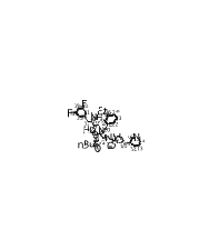 CCCCS(=O)(=O)C[C@@H](NC(=O)OCc1cccnc1)C(=O)N(Cc1cccc(CC)c1)C[C@@H](O)[C@@H](N)Cc1cc(F)cc(F)c1